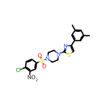 Cc1cc(C)cc(-c2csc(N3CCN(S(=O)(=O)c4ccc(Cl)c([N+](=O)[O-])c4)CC3)n2)c1